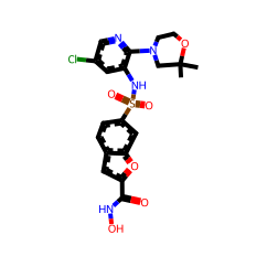 CC1(C)CN(c2ncc(Cl)cc2NS(=O)(=O)c2ccc3cc(C(=O)NO)oc3c2)CCO1